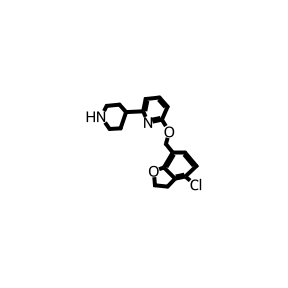 Clc1ccc(COc2cccc(C3CCNCC3)n2)c2c1CCO2